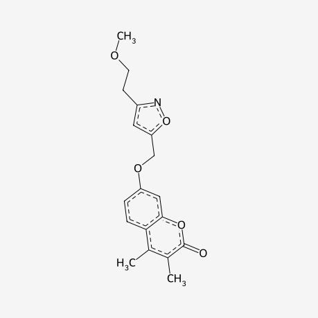 COCCc1cc(COc2ccc3c(C)c(C)c(=O)oc3c2)on1